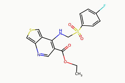 CCOC(=O)c1cnc2cscc2c1NCS(=O)(=O)c1ccc(F)cc1